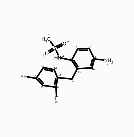 CS(=O)(=O)Nc1ccc(N)cc1Cc1ccc(F)cc1F